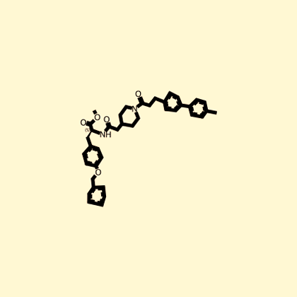 COC(=O)[C@H](Cc1ccc(OCc2ccccc2)cc1)NC(=O)CC1CCN(C(=O)CCc2ccc(-c3ccc(C)cc3)cc2)CC1